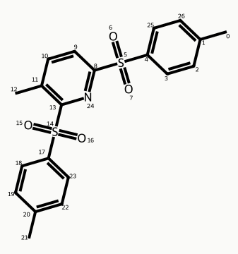 Cc1ccc(S(=O)(=O)c2ccc(C)c(S(=O)(=O)c3ccc(C)cc3)n2)cc1